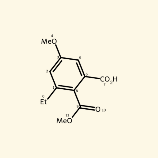 CCc1cc(OC)cc(C(=O)O)c1C(=O)OC